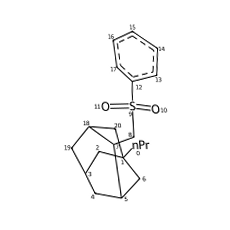 CCCC12CC3CC(C1)C(CS(=O)(=O)c1ccccc1)C(C3)C2